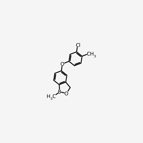 CB1OCc2cc(Oc3ccc(C)c(Cl)c3)ccc21